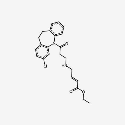 CCOC(=O)/C=C/CNCCC(=O)N1c2ccccc2CCc2ccc(Cl)cc21